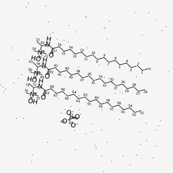 CCCCCCCCCCCCCCCCCC(=O)NC(C)[N+](C)(C)O.CCCCCCCCCCCCCCCCCC(=O)NC(C)[N+](C)(C)O.CCCCCCCCCCCCCCCCCC(=O)NC(C)[N+](C)(C)O.O=P([O-])([O-])[O-]